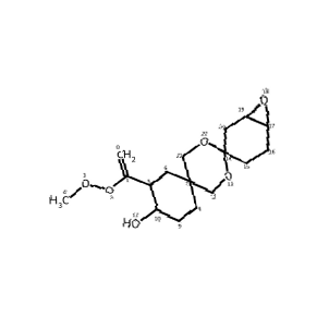 C=C(OOC)C1CC2(CCC1O)COC1(CCC3OC3C1)OC2